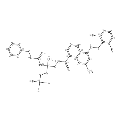 Cc1cc(OCc2c(F)cccc2F)c2nccc(C(=O)NCC(C)(CCC(F)(F)F)NC(=O)OCc3ccccc3)c2c1